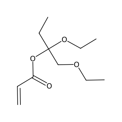 C=CC(=O)OC(CC)(COCC)OCC